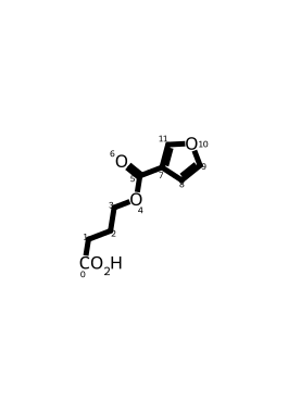 O=C(O)CCCOC(=O)c1ccoc1